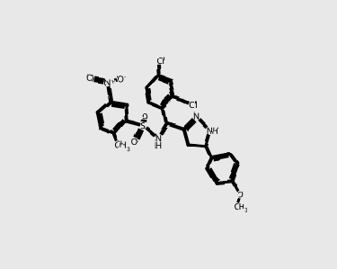 COc1ccc(C2CC(C(NS(=O)(=O)c3cc([N+](=O)[O-])ccc3C)c3ccc(Cl)cc3Cl)=NN2)cc1